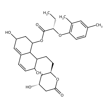 CC[C@H](Oc1ccc(C)cc1C)C(=O)OC1CC(O)C=C2C=CC(C)C(CC[C@@H]3C[C@@H](O)CC(=O)O3)C21